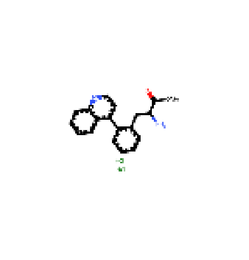 COC(=O)C(N)Cc1ccccc1-c1ccnc2ccccc12.Cl.Cl